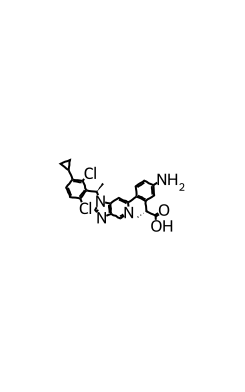 C[C@H](c1c(Cl)ccc(C2CC2)c1Cl)n1cnc2cnc(-c3ccc(N)cc3[C@@H](C)C(=O)O)cc21